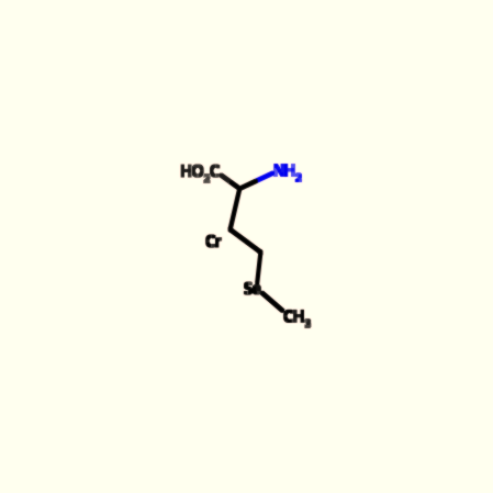 C[Se]CCC(N)C(=O)O.[Cr]